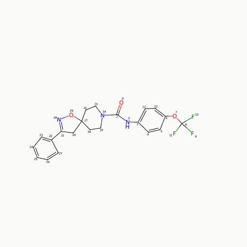 O=C(Nc1ccc(OC(F)(F)F)cc1)N1CCC2(CC1)CC(c1ccccc1)=NO2